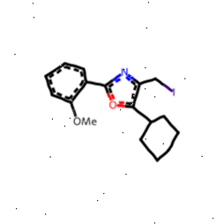 COc1ccccc1-c1nc(CI)c(C2CCCCC2)o1